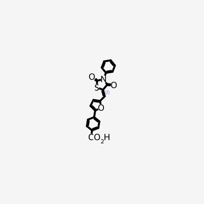 O=C(O)c1ccc(-c2ccc(/C=C3\SC(=O)N(c4ccccc4)C3=O)o2)cc1